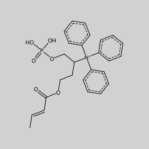 CC=CC(=O)OCCC(COP(=O)(O)O)[N+](c1ccccc1)(c1ccccc1)c1ccccc1